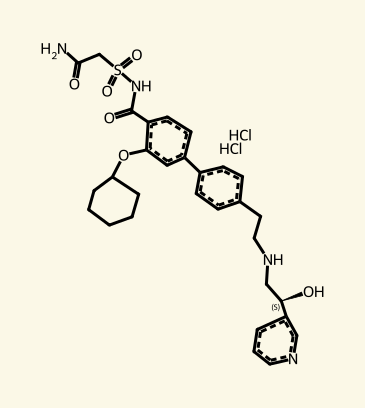 Cl.Cl.NC(=O)CS(=O)(=O)NC(=O)c1ccc(-c2ccc(CCNC[C@@H](O)c3cccnc3)cc2)cc1OC1CCCCC1